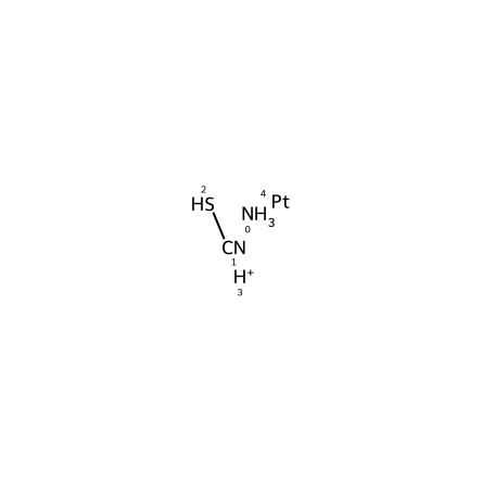 N.N#CS.[H+].[Pt]